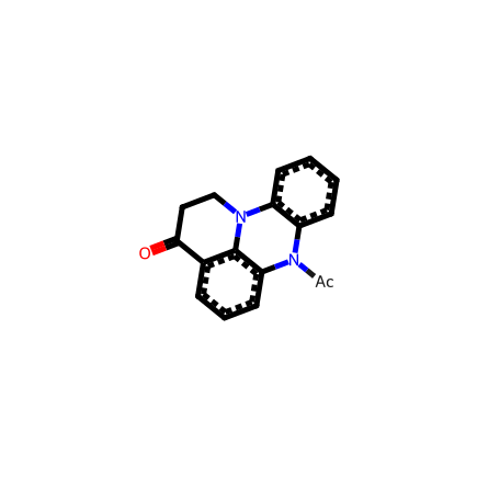 CC(=O)N1c2ccccc2N2CCC(=O)c3cccc1c32